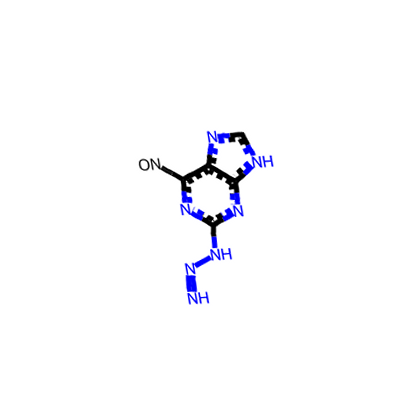 N=NNc1nc(N=O)c2nc[nH]c2n1